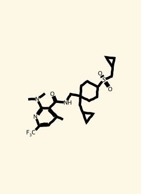 Cc1cc(C(F)(F)F)nc(N(C)C)c1C(=O)NCC1(CC2CC2)CCC(S(=O)(=O)CC2CC2)CC1